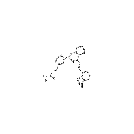 CC(C)NC(=O)COc1cccc(-c2nc(C=Cc3cccc4[nH]ncc34)c3ccccc3n2)c1